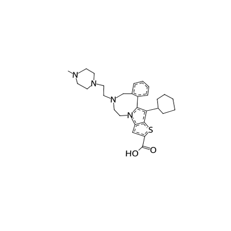 CN1CCN(CCN2CCn3c(c(C4CCCCC4)c4sc(C(=O)O)cc43)-c3ccccc3C2)CC1